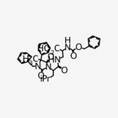 CC(C)CC(C(=O)NCC(NC(=O)OCc1ccccc1)C(=O)O)N1C(=O)N(Cc2ccccc2)C(C)(c2ccccc2)C1=O